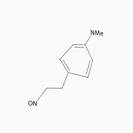 CNc1ccc(CCN=O)cc1